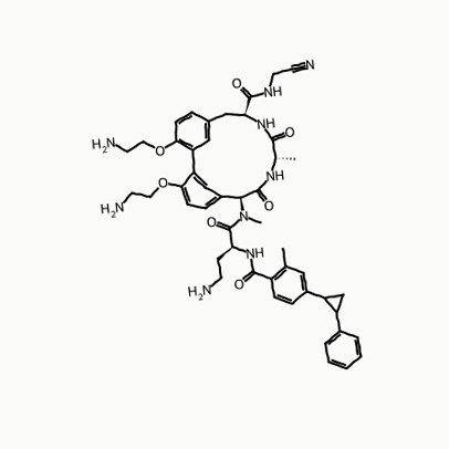 Cc1cc(C2CC2c2ccccc2)ccc1C(=O)N[C@@H](CCN)C(=O)N(C)[C@@H]1C(=O)N[C@@H](C)C(=O)N[C@H](C(=O)NCC#N)Cc2ccc(OCCN)c(c2)-c2cc1ccc2OCCN